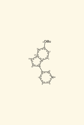 CC(C)COc1ccc2c(-c3cccnc3)csc2c1